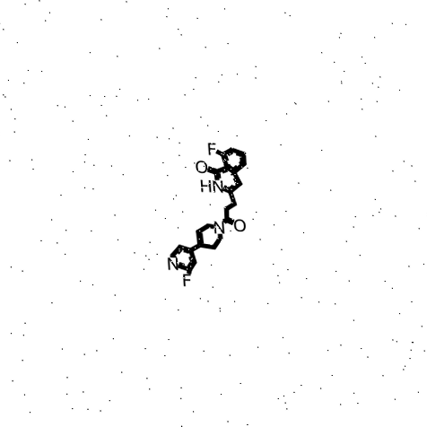 O=C(CCc1cc2cccc(F)c2c(=O)[nH]1)N1CC=C(c2ccnc(F)c2)CC1